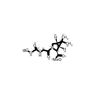 COC(=O)[C@@H]1[C@@H]2[C@H](CN1C(=O)CNC(=O)OC(C)(C)C)C2(C)C